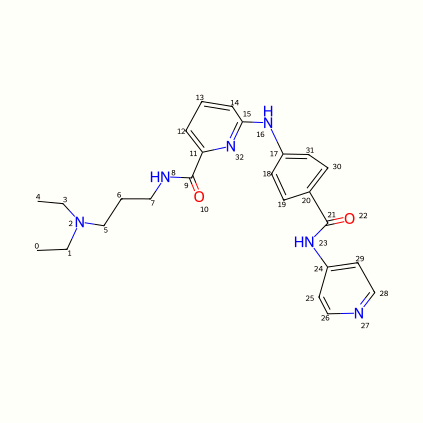 CCN(CC)CCCNC(=O)c1cccc(Nc2ccc(C(=O)Nc3ccncc3)cc2)n1